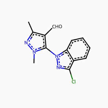 Cc1nn(C)c(-n2nc(Cl)c3ccccc32)c1C=O